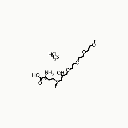 COCCOCCOCCOCC(O)C[SH](C)CC[C@H](N)C(=O)O.Cl.S